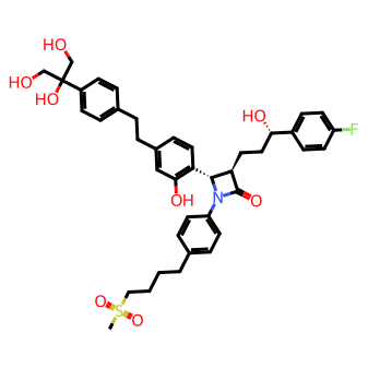 CS(=O)(=O)CCCCc1ccc(N2C(=O)[C@H](CC[C@H](O)c3ccc(F)cc3)[C@H]2c2ccc(CCc3ccc(C(O)(CO)CO)cc3)cc2O)cc1